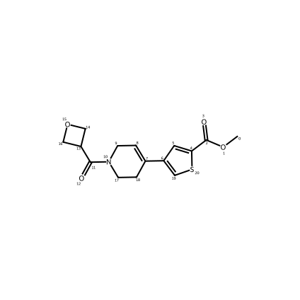 COC(=O)c1cc(C2=CCN(C(=O)C3COC3)CC2)cs1